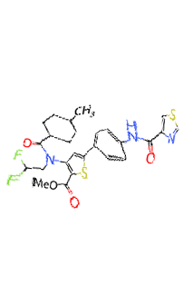 COC(=O)c1sc(-c2ccc(NC(=O)c3cscn3)cc2)cc1N(CC(F)F)C(=O)C1CCC(C)CC1